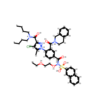 CCCCN(CCCC)C(=O)c1nn(-c2ccc(C(=O)N(OCCOCC)S(=O)(=O)c3ccc4ccccc4c3)cc2C(=O)N2CCc3ccccc3C2)c(C)c1Cl